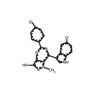 CCCc1nn(C)c2c(-c3c[nH]c4ccc(Cl)cc34)nc(-c3ccc(Cl)cc3)nc12